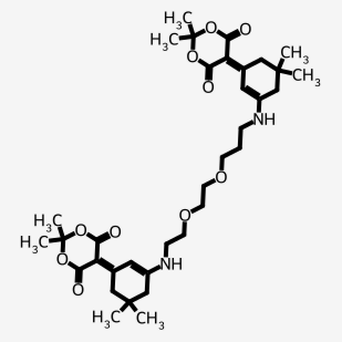 CC1(C)CC(NCCCOCCOCCNC2=CC(=C3C(=O)OC(C)(C)OC3=O)CC(C)(C)C2)=CC(=C2C(=O)OC(C)(C)OC2=O)C1